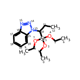 CCO[Si](OCC)(OCC)C(CC)n1nnc2ccccc21